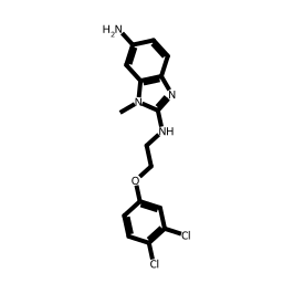 Cn1c(NCCOc2ccc(Cl)c(Cl)c2)nc2ccc(N)cc21